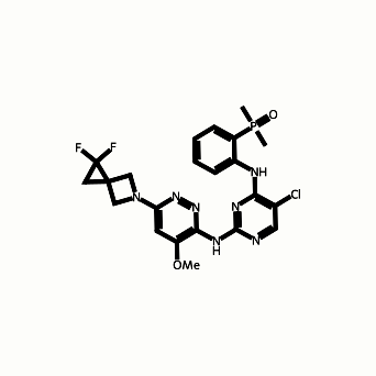 COc1cc(N2CC3(C2)CC3(F)F)nnc1Nc1ncc(Cl)c(Nc2ccccc2P(C)(C)=O)n1